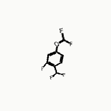 Fc1cc(OC(F)F)ccc1C(F)F